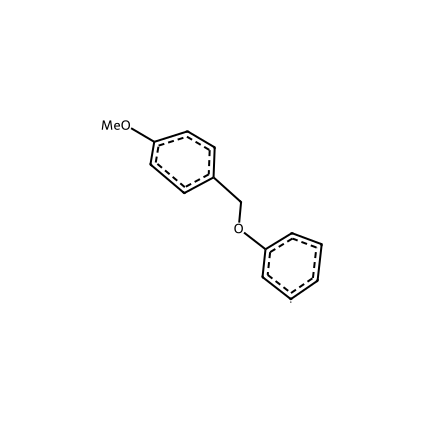 COc1ccc(COc2c[c]ccc2)cc1